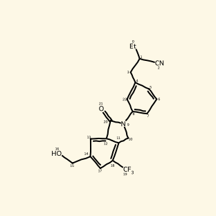 CCC(C#N)Cc1cccc(N2Cc3c(cc(CO)cc3C(F)(F)F)C2=O)c1